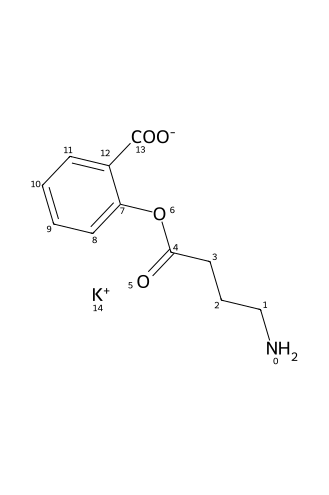 NCCCC(=O)Oc1ccccc1C(=O)[O-].[K+]